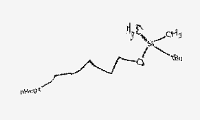 CCCCCCCCCCCCO[Si](C)(C)C(C)(C)C